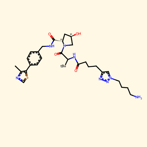 Cc1ncsc1-c1ccc(CNC(=O)[C@@H]2C[C@@H](O)CN2C(=O)C(NC(=O)CCCc2cn(CCCCN)nn2)C(C)(C)C)cc1